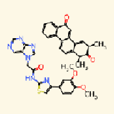 CC1C=c2c(ccc3c2=CC(=O)c2ccccc2-3)C(C)C1=O.COc1ccc(-c2csc(NC(=O)Cn3cnc4ncncc43)n2)cc1OC